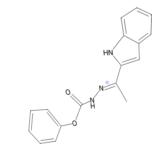 C/C(=N\NC(=O)Oc1ccccc1)c1cc2ccccc2[nH]1